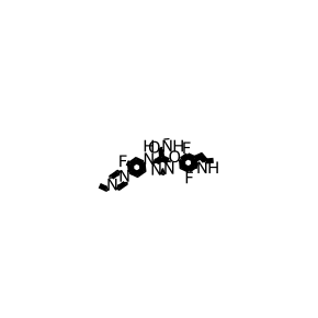 CCN1CCN(c2ccc(Nc3ncnc(Oc4cc(F)c5[nH]c(C)cc5c4F)c3C(=O)NC)cc2F)CC1